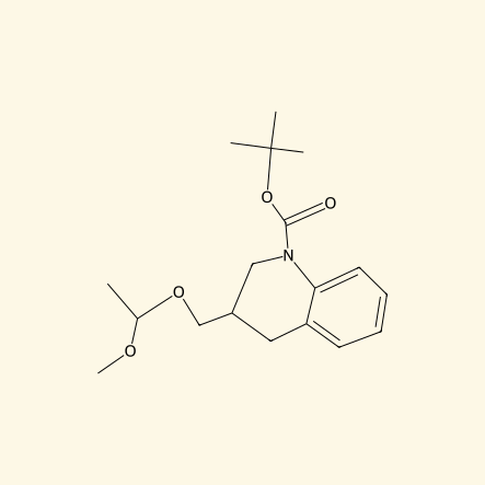 COC(C)OCC1Cc2ccccc2N(C(=O)OC(C)(C)C)C1